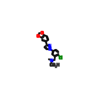 CN(Cc1cc(-n2ccc(-c3ccc4c(c3)OCO4)n2)ccc1Cl)C(=O)O